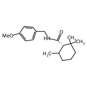 COc1ccc(CNC(=O)[C@H]2C(C)CCCC2(C)C)cc1